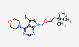 C[Si](C)(C)CCOCn1cc(I)c2c(N3CCOCC3)ncnc21